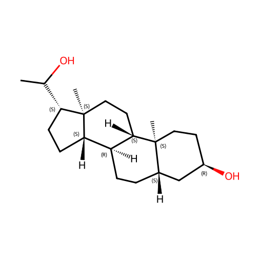 CC(O)[C@H]1CC[C@H]2[C@@H]3CC[C@H]4C[C@H](O)CC[C@]4(C)[C@H]3CC[C@]12C